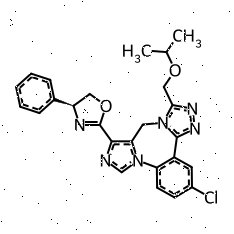 CC(C)OCc1nnc2n1Cc1c(C3=N[C@@H](c4ccccc4)CO3)ncn1-c1ccc(Cl)cc1-2